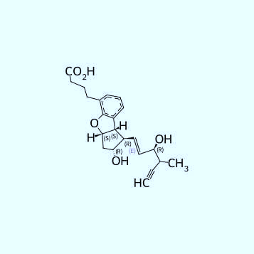 C#CC(C)[C@H](O)/C=C/[C@@H]1[C@H]2c3cccc(CCCC(=O)O)c3O[C@H]2C[C@H]1O